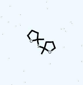 CC1(SC2(C)CCCO2)CCCO1